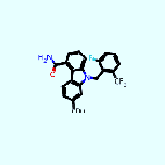 CCCCc1c[c]c2c3c(C(N)=O)cccc3n(Cc3c(F)cccc3C(F)(F)F)c2c1